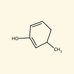 CC1C=C(O)C=CC1